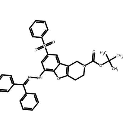 CC(C)(C)OC(=O)N1CCc2oc3c(NN=C(c4ccccc4)c4ccccc4)cc(S(=O)(=O)c4ccccc4)cc3c2C1